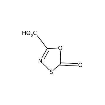 O=C(O)c1nsc(=O)o1